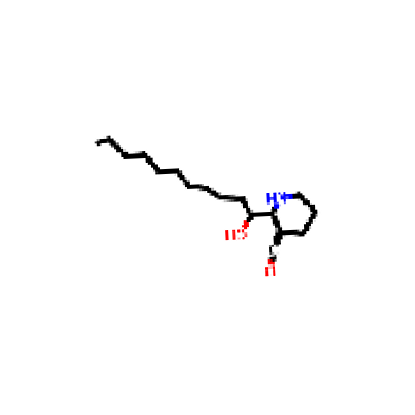 CCCCCCCCCCC(O)C1NCCCC1=C=O